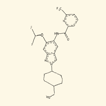 O=C(Nc1cc2cn(C3CCC(CO)CC3)nc2cc1OC(F)F)c1cccc(C(F)(F)F)n1